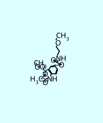 CCOCCCNS(=O)(=O)c1ccc(NS(C)(=O)=O)c(SOOC)c1